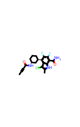 CC#CC(=O)N[C@@H]1CCC[C@@H](c2c(F)c(F)c(C(N)=O)c3[nH]c(C)c(Cl)c23)C1